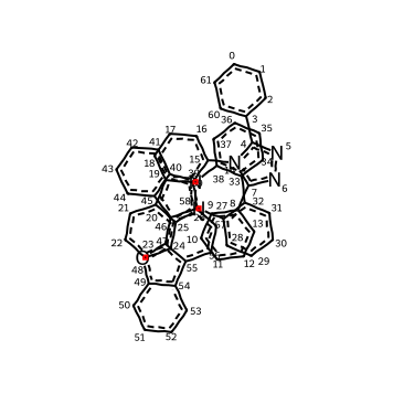 c1ccc(-c2nnc(-c3ccccc3)n2-c2cccc3c4ccccc4n(-c4ccccc4-c4ccccc4-n4c5ccccc5c5c6oc7ccccc7c6ccc54)c23)cc1